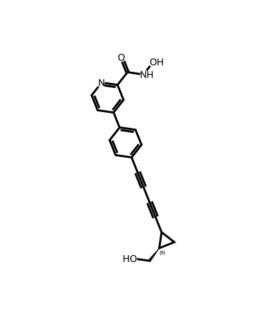 O=C(NO)c1cc(-c2ccc(C#CC#CC3C[C@H]3CO)cc2)ccn1